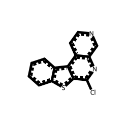 Clc1nc2cnccc2c2c1sc1ccccc12